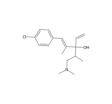 C=CC(O)(/C(C)=C/c1ccc(Cl)cc1)C(C)CN(C)C